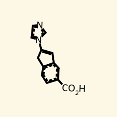 O=C(O)c1ccc2c(c1)C=C(n1ccnc1)C2